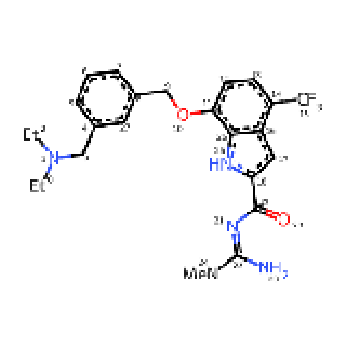 CCN(CC)Cc1cccc(COc2ccc(C(F)(F)F)c3cc(C(=O)N=C(N)NC)[nH]c23)c1